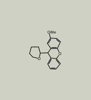 COc1ccc2c(c1)C(C1CCCCO1)c1ccccc1O2